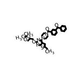 CCc1cc2c(N3CCN(C(=O)c4cccc(C(=O)c5ccccc5)c4)CC3)nc(OCC3COC(C)(C)O3)nc2s1